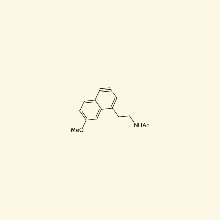 COc1ccc2c#ccc(CCNC(C)=O)c2c1